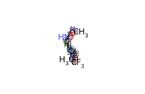 Cc1ncc(CC(=O)NC2CCC(F)(CCN3CCc4ccc(OC(C)C(F)(F)F)nc4CC3)CC2)o1